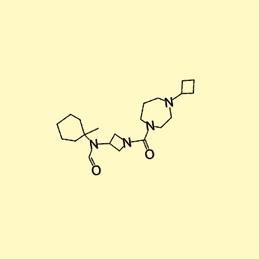 CC1(N(C=O)C2CN(C(=O)N3CCCN(C4CCC4)CC3)C2)CCCCC1